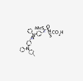 CS/C(=C\c1ccc(N(/N=C/c2ccc(N(c3ccccc3)c3ccc(C)cc3)cc2)c2ccccc2)cc1)C(=O)N(C=S)CC(=O)O